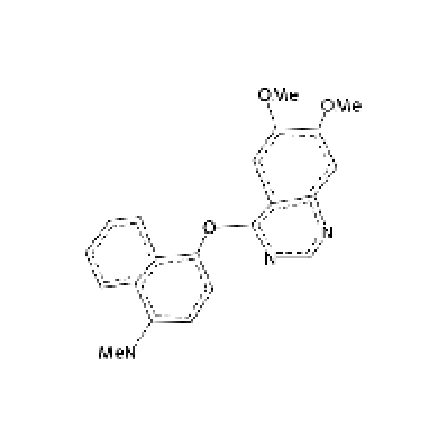 CNc1ccc(Oc2ncnc3cc(OC)c(OC)cc23)c2ccccc12